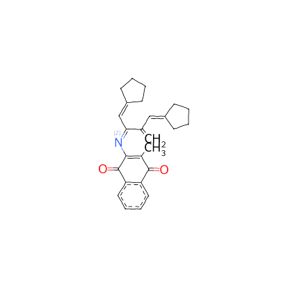 C=C(C=C1CCCC1)/C(C=C1CCCC1)=N\C1=C(C)C(=O)c2ccccc2C1=O